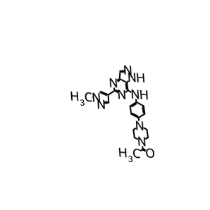 CC(=O)N1CCN(c2ccc(Nc3nc(-c4cnn(C)c4)nc4cn[nH]c34)cc2)CC1